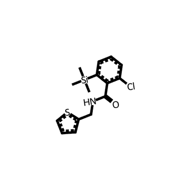 C[Si](C)(C)c1cccc(Cl)c1C(=O)NCc1cccs1